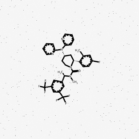 Cc1cc(F)ccc1[C@H]1C[C@@H](N(c2ccccn2)c2ccccn2)CCN1C(=O)N(C)[C@H](C)c1cc(C(F)(F)F)cc(C(F)(F)F)c1